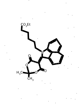 CCOC(=O)CCCCCn1c(=C2C(=O)OC(C)(C)OC2=O)c2cccc3cccc1c32